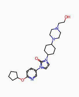 O=c1n(-c2ccc(OC3CCCC3)nc2)ccn1C1CCC(N2CCN(CCO)CC2)CC1